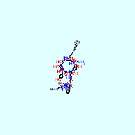 CC[C@H](C)C[C@H](C)CCCCCCCCC(=O)N[C@H]1C[C@@H](O)[C@@H](OCCN)NC(=O)[C@@H]2[C@@H](O)CCN2C(=O)[C@H]([C@H](O)CCNC(=O)CCNC(=O)[C@H](Cc2ccccc2)NC(=O)[C@H](CC(C)C)NC(=O)[C@H](CCSC)NC=O)NC(=O)[C@H]([C@H](O)[C@@H](O)c2ccc(O)cc2)NC(=O)[C@@H]2C[C@@H](O)CN2C(=O)[C@H]([C@@H](C)O)NC1=O